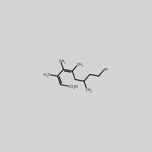 CCOC(=O)C=C(C)C(C)=C(C)CC(C)CCC(C)C